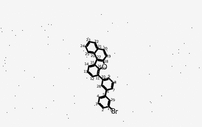 Brc1cccc(-c2cccc(-c3cccc4c3oc3ccc5ccccc5c34)c2)c1